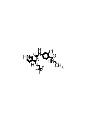 CCNC(=O)c1ccc(Nc2nc(NCC(F)(F)F)c3cc[nH]c3n2)cc1Cl